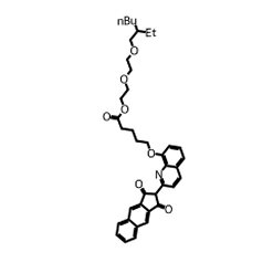 CCCCC(CC)COCCOCCOC(=O)CCCCOc1cccc2ccc(C3C(=O)c4cc5ccccc5cc4C3=O)nc12